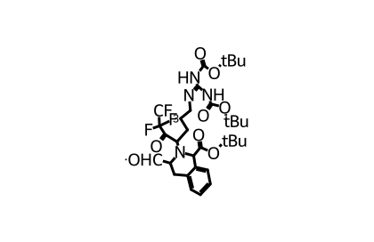 CC(C)(C)OC(=O)NC(=NCCCC(C(=O)C(F)(F)C(F)(F)F)N1C([C]=O)Cc2ccccc2C1C(=O)OC(C)(C)C)NC(=O)OC(C)(C)C